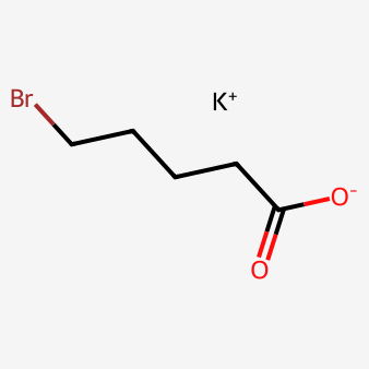 O=C([O-])CCCCBr.[K+]